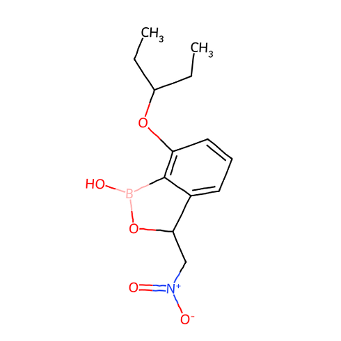 CCC(CC)Oc1cccc2c1B(O)OC2C[N+](=O)[O-]